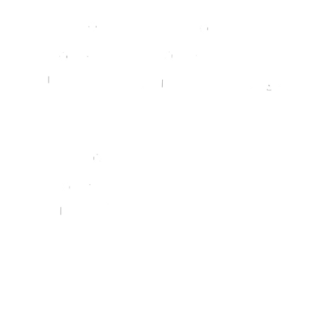 O=C([O-])c1cccc2cccc(I)c12.O=C([O-])c1cccc2cccc(I)c12.O=C([O-])c1cccc2cccc(I)c12.[Al+3]